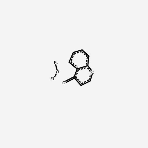 CCOCC.O=c1ccoc2ccccc12